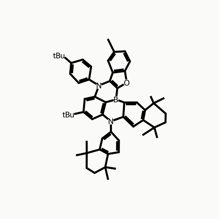 Cc1ccc2oc3c(c2c1)N(c1ccc(C(C)(C)C)cc1)c1cc(C(C)(C)C)cc2c1B3c1cc3c(cc1N2c1ccc2c(c1)C(C)(C)CCC2(C)C)C(C)(C)CCC3(C)C